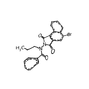 CCCN(C(=O)c1ccccc1)N1C(=O)c2cc(Br)c3ccccc3c2C1=O